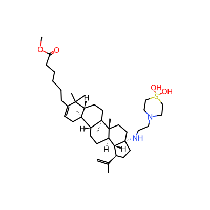 C=C(C)[C@@H]1CC[C@]2(NCCN3CCS(O)(O)CC3)CC[C@]3(C)[C@H](CC[C@@H]4[C@@]5(C)CC=C(CCCCCC(=O)OC)C(C)(C)[C@@H]5CC[C@]43C)[C@@H]12